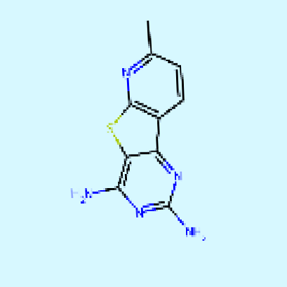 Cc1ccc2c(n1)sc1c(N)nc(N)nc12